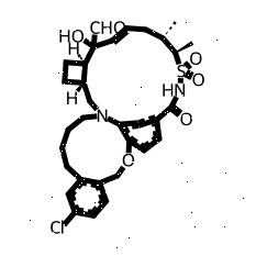 C[C@@H]1[C@@H](C)C/C=C/C(O)(C=O)[C@@H]2CC[C@H]2CN2CCCCc3cc(Cl)ccc3COc3ccc(cc32)C(=O)NS1(=O)=O